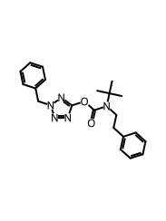 CC(C)(C)N(CCc1ccccc1)C(=O)Oc1nnn(Cc2ccccc2)n1